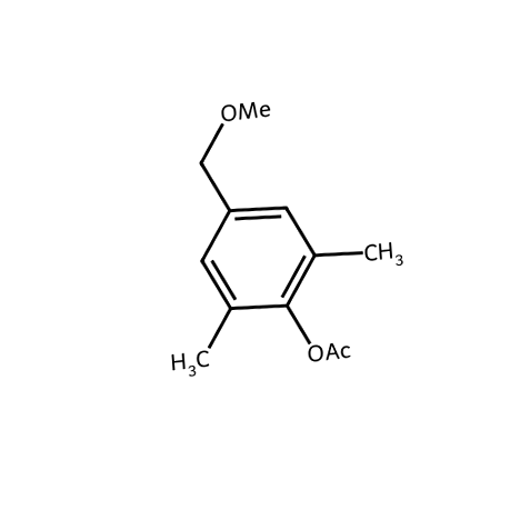 COCc1cc(C)c(OC(C)=O)c(C)c1